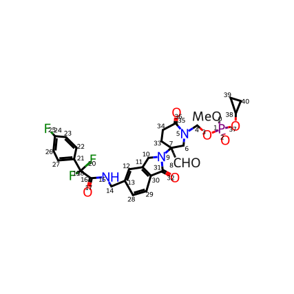 COP(=O)(OCN1CC(C=O)(N2Cc3cc(CNC(=O)C(F)(F)c4ccc(F)cc4)ccc3C2=O)CCC1=O)OC1CC1